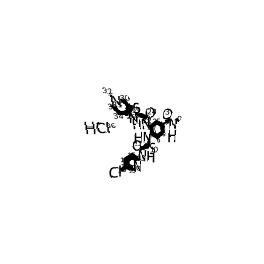 CNC(=O)[C@H]1CC[C@H](NC(=S)C(=O)Nc2ccc(Cl)cn2)[C@H](NC(=O)c2nc3c(s2)CN(C)CC3)C1.Cl